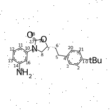 CC(C)(C)c1ccc(CC[C@@H]2CN(c3cccc(N)c3)C(=O)O2)cc1